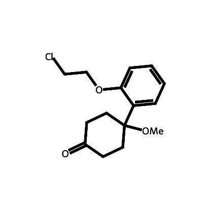 COC1(c2ccccc2OCCCl)CCC(=O)CC1